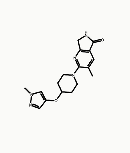 Cc1cc2c(nc1N1CCC(Oc3cnn(C)c3)CC1)CNC2=O